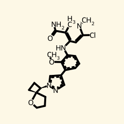 C=N/C(Cl)=C\C(Nc1cccc(-c2cnn([C@@H]3CC[C@]34CCCO4)c2)c1OC)=C(/C)C(N)=O